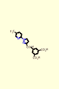 Cc1cc(C(=O)O)cc(C(=O)O)c1.O=C(O)c1ccn(-c2ccc(C(F)(F)F)cn2)n1